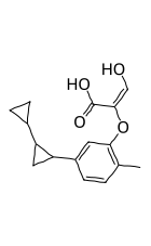 Cc1ccc(C2CC2C2CC2)cc1OC(=CO)C(=O)O